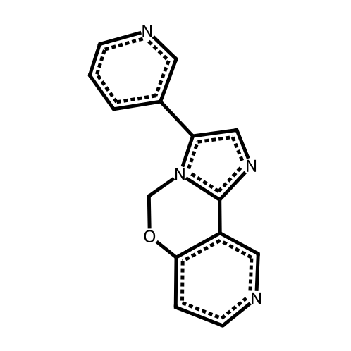 c1cncc(-c2cnc3n2COc2ccncc2-3)c1